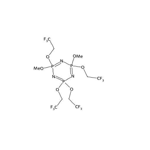 COP1(OCC(F)(F)F)=NP(OC)(OCC(F)(F)F)=NP(OCC(F)(F)F)(OCC(F)(F)F)=N1